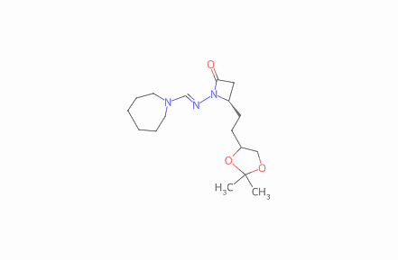 CC1(C)OCC(CC[C@@H]2CC(=O)N2N=CN2CCCCCC2)O1